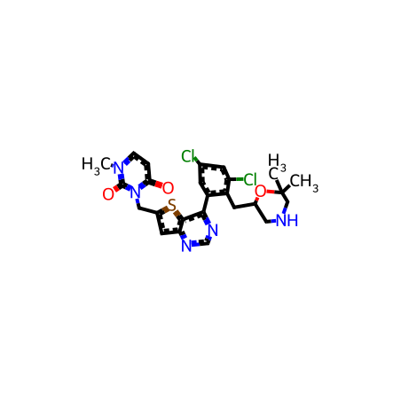 Cn1ccc(=O)n(Cc2cc3ncnc(-c4cc(Cl)cc(Cl)c4CC4CNCC(C)(C)O4)c3s2)c1=O